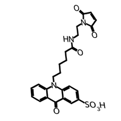 O=C(CCCCCn1c2ccccc2c(=O)c2cc(S(=O)(=O)O)ccc21)NCCN1C(=O)C=CC1=O